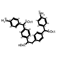 CCCCCCCCCCC(Cc1ccc(C(CCCCCCCC)c2ccc(N)cc2)cc1)c1ccc(C(CCCCCCCC)c2ccc(N)cc2)cc1